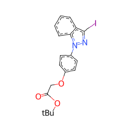 CC(C)(C)OC(=O)COc1ccc(-n2nc(I)c3ccccc32)cc1